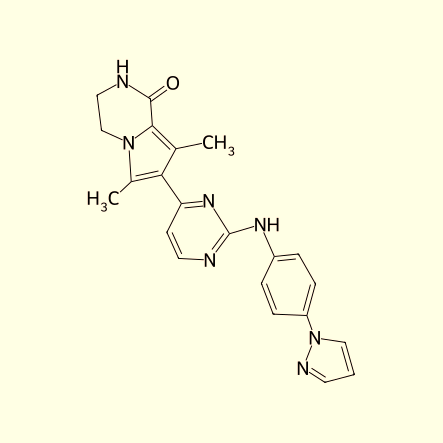 Cc1c(-c2ccnc(Nc3ccc(-n4cccn4)cc3)n2)c(C)n2c1C(=O)NCC2